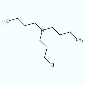 CCCCN(CCCC)CCCCl